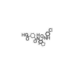 O=C(Nc1ccc(Cl)cc1)c1c(NC(=O)C2CCCC(C(=O)O)C2)sc2c1CCC2